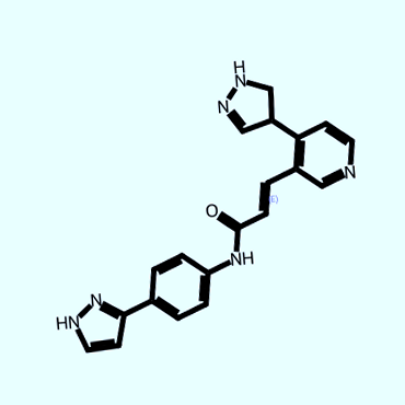 O=C(/C=C/c1cnccc1C1C=NNC1)Nc1ccc(-c2cc[nH]n2)cc1